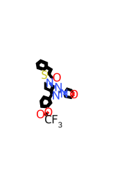 O=C(c1cc2ccccc2s1)N1CCc2c(-c3cccc(OC(=O)C(F)(F)F)c3)nc(N3CCOCC3)nc21